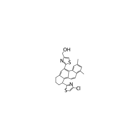 Cc1cc(C)c2ccc3c4c(cc(-c5nc(CO)cs5)c3c2c1)CCCC4c1nc(Cl)cs1